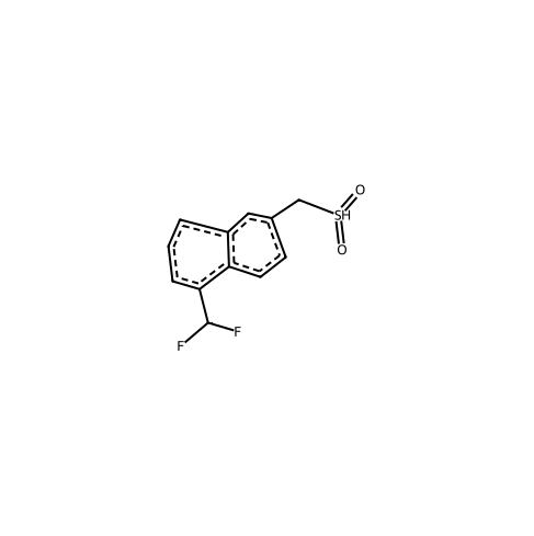 O=[SH](=O)Cc1ccc2c([C](F)F)cccc2c1